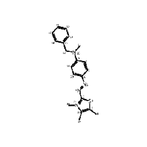 Cc1sc(/N=N/c2ccc(N(C)Cc3ccccc3)cc2)[n+](C)c1C